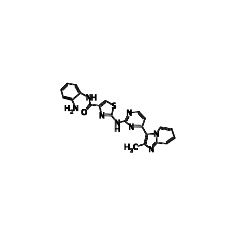 Cc1nc2ccccn2c1-c1ccnc(Nc2nc(C(=O)Nc3ccccc3N)cs2)n1